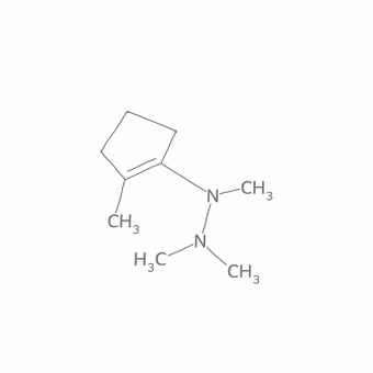 CC1=C(N(C)N(C)C)CCC1